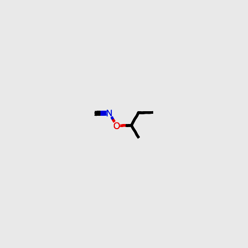 C=NOC(C)CC